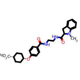 CN1c2ccccc2CC1C(=O)NCCNC(=O)c1ccc(O[C@H]2CC[C@@H](C(=O)O)CC2)cc1